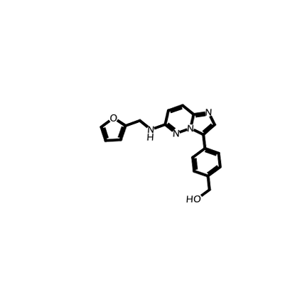 OCc1ccc(-c2cnc3ccc(NCc4ccco4)nn23)cc1